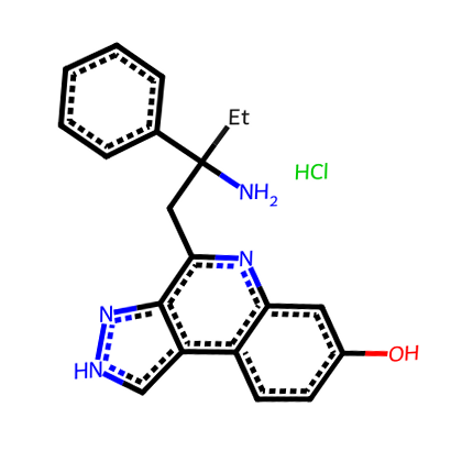 CCC(N)(Cc1nc2cc(O)ccc2c2c[nH]nc12)c1ccccc1.Cl